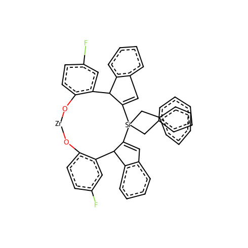 Fc1ccc2c(c1)C1C(=Cc3ccccc31)[Si](Cc1ccccc1)(Cc1ccccc1)C1=Cc3ccccc3C1c1cc(F)ccc1[O][Zr][O]2